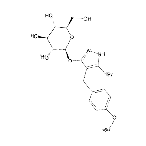 CCCCOc1ccc(Cc2c(O[C@@H]3O[C@H](CO)[C@@H](O)[C@H](O)[C@H]3O)n[nH]c2C(C)C)cc1